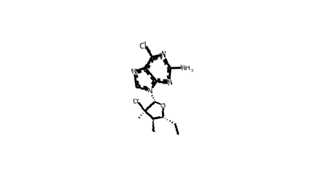 CC[C@H]1O[C@@H](n2cnc3c(Cl)nc(N)nc32)[C@](C)(Cl)[C@@H]1C